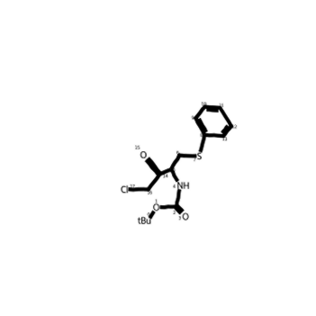 CC(C)(C)OC(=O)NC(CSc1ccccc1)C(=O)CCl